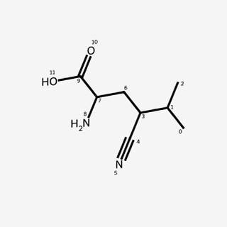 CC(C)C(C#N)CC(N)C(=O)O